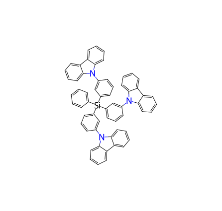 c1ccc([Si](c2cccc(-n3c4ccccc4c4ccccc43)c2)(c2cccc(-n3c4ccccc4c4ccccc43)c2)c2cccc(-n3c4ccccc4c4ccccc43)c2)cc1